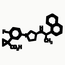 C[C@@H](N[C@H]1CCN(c2ccc(F)c(C3(C(=O)O)CC3)c2)C1)c1cccc2ccccc12